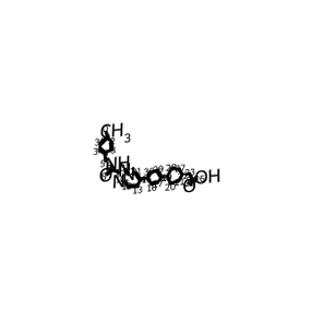 Cc1ccc(CNC(=O)c2nc3ccc(-c4ccc([C@H]5CC[C@H](CC(=O)O)CC5)cc4)cn3n2)cc1